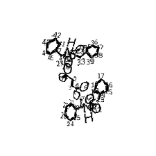 O=C(/C=C/C(=O)OC[C@@H](NS(=O)(=O)Cc1ccccc1)c1ccccc1)OC[C@@H](NS(=O)(=O)Cc1ccccc1)c1ccccc1